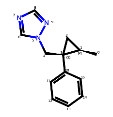 C[C@@H]1C[C@@]1(Cn1cncn1)c1ccccc1